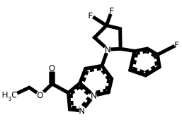 CCOC(=O)c1cnn2ccc(N3CC(F)(F)CC3c3cccc(F)c3)cc12